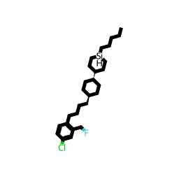 CCCCC[SiH]1CCC([C@H]2CC[C@H](CCCCc3ccc(Cl)cc3CF)CC2)CC1